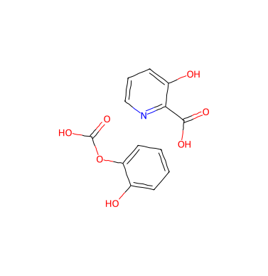 O=C(O)Oc1ccccc1O.O=C(O)c1ncccc1O